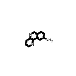 Nc1ccc2cnc3cccnc3c2c1